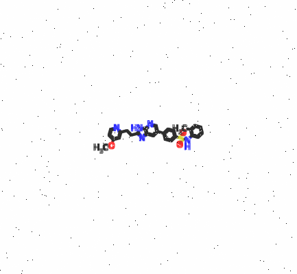 COc1ccnc(CCc2nc3cc(-c4ccc(S(=O)(=O)Nc5ccccc5C)cc4)cnc3[nH]2)c1